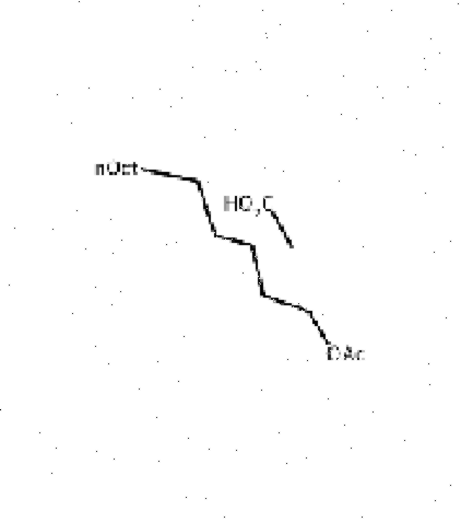 CC(=O)O.CCCCCCCCCCCCCOC(C)=O